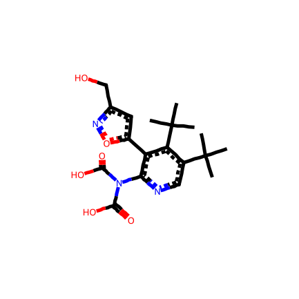 CC(C)(C)c1cnc(N(C(=O)O)C(=O)O)c(-c2cc(CO)no2)c1C(C)(C)C